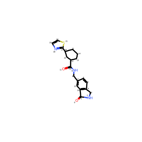 O=C1NCc2ccc(CNC(=O)C3CCCC(c4nccs4)C3)cc21